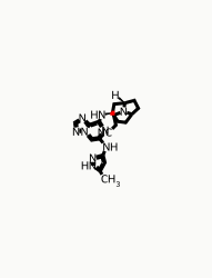 Cc1cc(Nc2cn3ncnc3c(N[C@@H]3CCC4CC[C@@H](C3)N4CCC#N)n2)n[nH]1